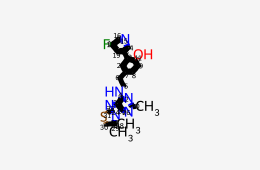 Cc1nc(NCCc2ccc(O)c(-c3cncc(F)c3)c2)c2nc3n(c2n1)C(C)(C)CS3